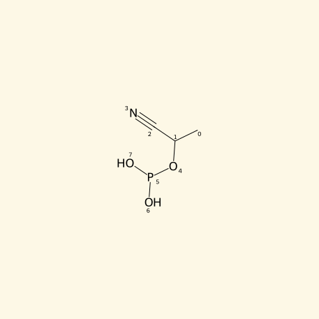 CC(C#N)OP(O)O